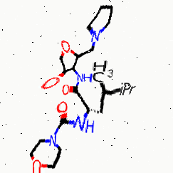 CC(C)C(C)C[C@H](NC(=O)N1CCOCC1)C(=O)NC1C(=O)COC1CN1CCCC1